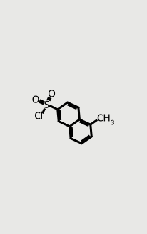 Cc1cccc2cc(S(=O)(=O)Cl)ccc12